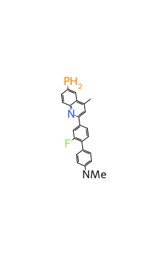 CNc1ccc(-c2ccc(-c3cc(C)c4cc(P)ccc4n3)cc2F)cc1